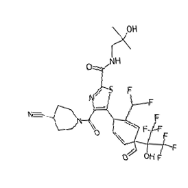 CC(C)(O)CNC(=O)c1nc(C(=O)N2CCC(C#N)CC2)c(C2C=CC(C=O)(C(O)(C(F)(F)F)C(F)(F)F)C=C2C(F)F)s1